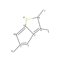 CC1=CC2=C(C)C(C)SC2=[C]1